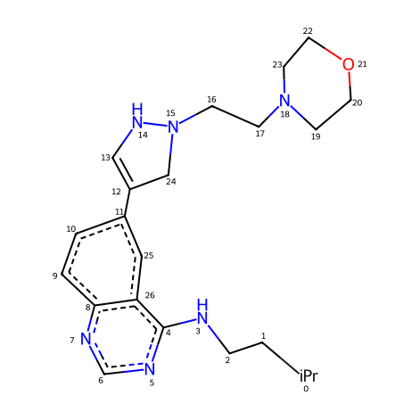 CC(C)CCNc1ncnc2ccc(C3=CNN(CCN4CCOCC4)C3)cc12